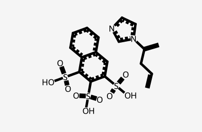 C=CCC(=C)n1ccnc1.O=S(=O)(O)c1cc2ccccc2c(S(=O)(=O)O)c1S(=O)(=O)O